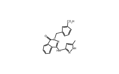 Cc1cc(Nc2nn(Cc3cccc(C(=O)O)c3)c(=O)c3ccccc23)n[nH]1